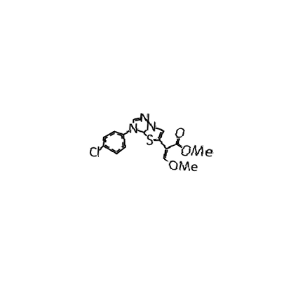 CO/C=C(\C(=O)OC)C1=CN2N=CN(c3ccc(Cl)cc3)C2S1